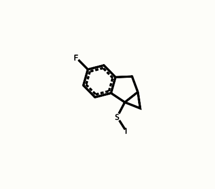 Fc1ccc2c(c1)CC1CC21SI